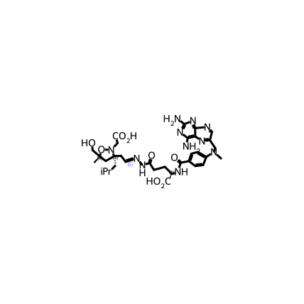 CC(C)C[C@]1(C/C=N/NC(=O)CC[C@H](NC(=O)c2ccc(N(C)Cc3cnc4nc(N)nc(N)c4n3)cc2)C(=O)O)C[C@](C)(CO)ON1CC(=O)O